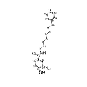 O=C(NCCCCCCCCc1ccccc1)c1ccc(O)c(I)c1